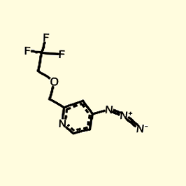 [N-]=[N+]=Nc1ccnc(COCC(F)(F)F)c1